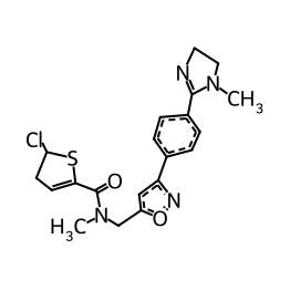 CN(Cc1cc(-c2ccc(C3=NCCN3C)cc2)no1)C(=O)C1=CCC(Cl)S1